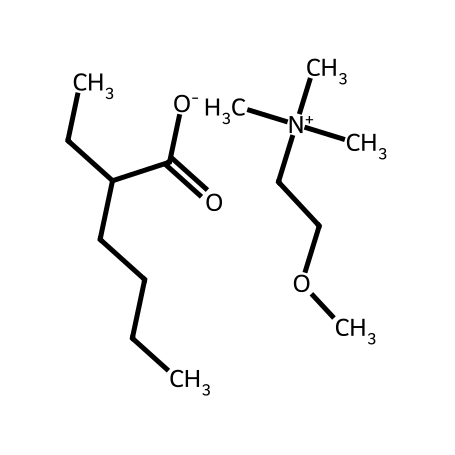 CCCCC(CC)C(=O)[O-].COCC[N+](C)(C)C